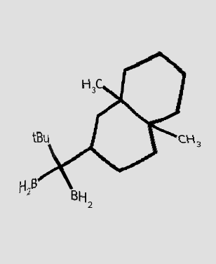 BC(B)(C1CCC2(C)CCCCC2(C)C1)C(C)(C)C